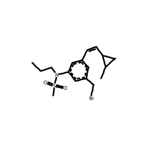 CCCN(c1cc(/C=C\C2CC2C)cc(CBr)c1)S(C)(=O)=O